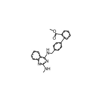 CNc1nc(NCc2ccc(-c3ccccc3C(=O)OC)cc2)c2ccccc2n1